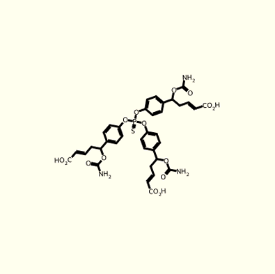 NC(=O)OC(CC=CC(=O)O)c1ccc(OP(=S)(Oc2ccc(C(CC=CC(=O)O)OC(N)=O)cc2)Oc2ccc(C(CC=CC(=O)O)OC(N)=O)cc2)cc1